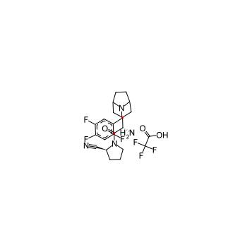 N#C[C@@H]1CCCN1C(=O)[C@@H](N)C1CC2CCC(C1)N2Cc1cc(F)c(F)cc1F.O=C(O)C(F)(F)F